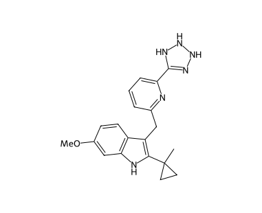 COc1ccc2c(Cc3cccc(C4=NNNN4)n3)c(C3(C)CC3)[nH]c2c1